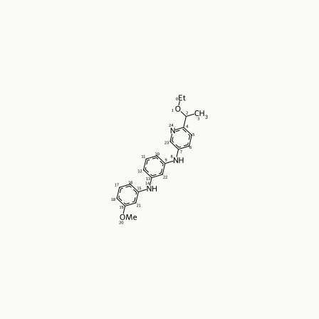 CCOC(C)c1ccc(Nc2cccc(Nc3cccc(OC)c3)c2)cn1